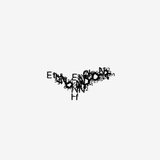 CCN1CCN(c2ccc(Nc3ncc4cc(-c5ccc(C6=NCC(C)=N6)cc5Cl)c(=O)n(CC)c4n3)cc2)CC1